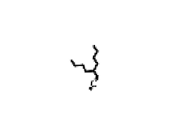 C=C=CC(CCCC)CCCC